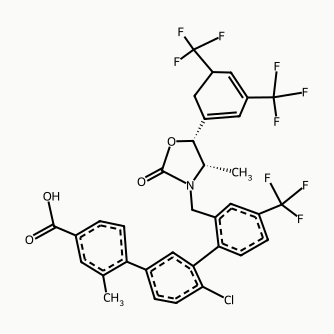 Cc1cc(C(=O)O)ccc1-c1ccc(Cl)c(-c2ccc(C(F)(F)F)cc2CN2C(=O)O[C@H](C3=CC(C(F)(F)F)=CC(C(F)(F)F)C3)[C@@H]2C)c1